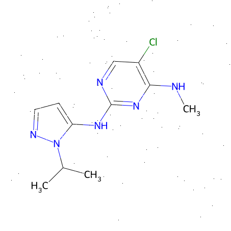 CNc1nc(Nc2ccnn2C(C)C)ncc1Cl